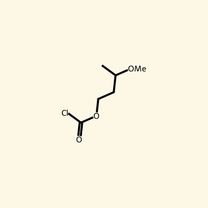 COC(C)CCOC(=O)Cl